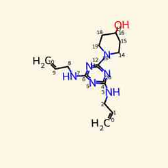 C=CCNc1nc(NCC=C)nc(N2CCC(O)CC2)n1